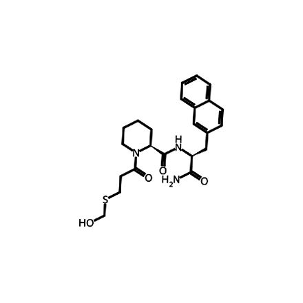 NC(=O)[C@H](Cc1ccc2ccccc2c1)NC(=O)[C@@H]1CCCCN1C(=O)CCSCO